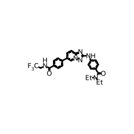 CCN(CC)C(=O)c1ccc(Nc2nc3ccc(-c4ccc(C(=O)NCC(F)(F)F)cc4)cn3n2)cc1